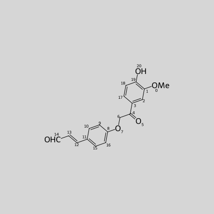 COc1cc(C(=O)COc2ccc(C=CC=O)cc2)ccc1O